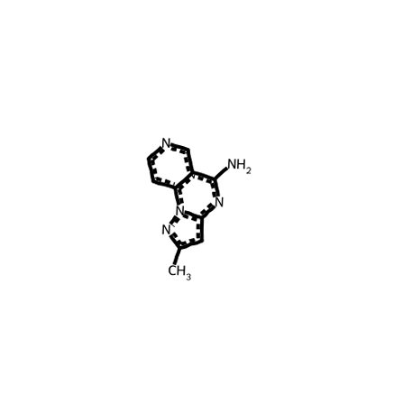 Cc1cc2nc(N)c3cnccc3n2n1